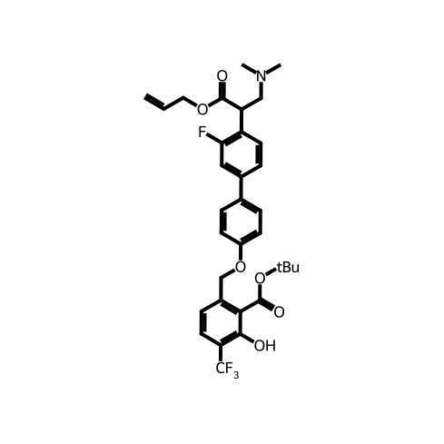 C=CCOC(=O)C(CN(C)C)c1ccc(-c2ccc(OCc3ccc(C(F)(F)F)c(O)c3C(=O)OC(C)(C)C)cc2)cc1F